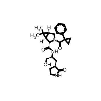 CC1(C)[C@@H]2[C@@H](C(=O)N[C@H](CO)C[C@@H]3CCNC3=O)N(C(=O)C3(c4ccccc4)CC3)C[C@@H]21